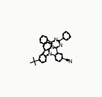 CC(C)(C)c1ccc2c(c1)c1ccccc1n2-c1ccc(C#N)cc1-c1nc(-c2ccccc2)nc(-c2ccccc2)n1